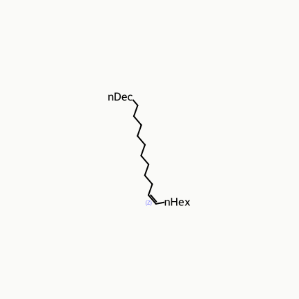 CCCCCC/C=C\CCCCCCCCCCCCCCCCCCC